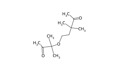 CC(=O)C(C)(C)CCOC(C)(C)C(C)=O